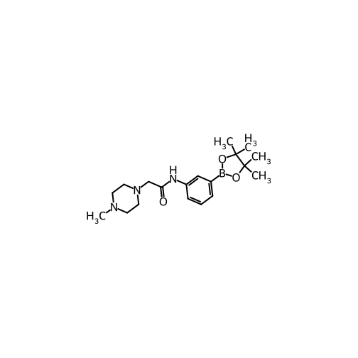 CN1CCN(CC(=O)Nc2cccc(B3OC(C)(C)C(C)(C)O3)c2)CC1